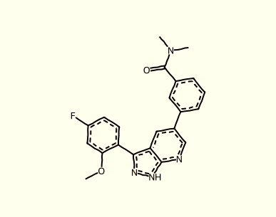 COc1cc(F)ccc1-c1n[nH]c2ncc(-c3cccc(C(=O)N(C)C)c3)cc12